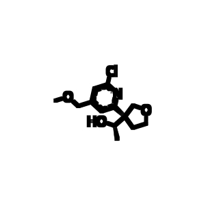 COCc1cc(Cl)nc([C@]2([C@@H](C)O)CCOC2)c1